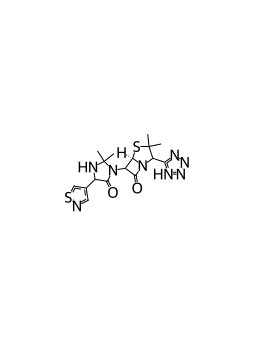 CC1(C)S[C@@H]2C(N3C(=O)C(c4cnsc4)NC3(C)C)C(=O)N2C1c1nnn[nH]1